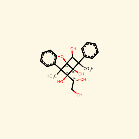 O=C(O)C1(c2ccccc2)C(O)[C@@]2(O)C(C(=O)O)(c3ccccc3)[C@@](O)([C@H](O)CO)[C@@]12O